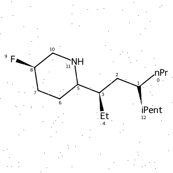 CCCC(C[C@@H](CC)C1CC[C@@H](F)CN1)[C@H](C)CCC